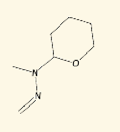 C=NN(C)C1CCCCO1